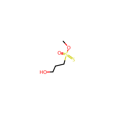 COS(=O)(=S)CCCO